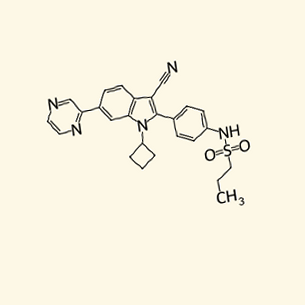 CCCS(=O)(=O)Nc1ccc(-c2c(C#N)c3ccc(-c4cnccn4)cc3n2C2CCC2)cc1